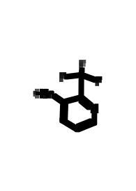 FC(F)(F)c1nccc[c]1[SnH]